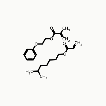 C=C(C)C(=O)OCCOc1ccccc1.C=CC(=O)OCCCCCC(C)C